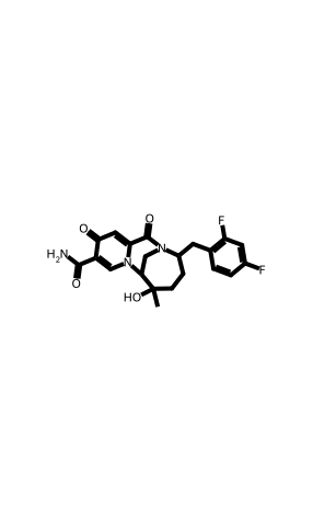 CC1(O)CCC(Cc2ccc(F)cc2F)N2CC1n1cc(C(N)=O)c(=O)cc1C2=O